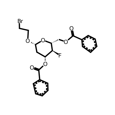 O=C(OC[C@H]1O[C@@H](OCCBr)C[C@@H](OC(=O)c2ccccc2)[C@@H]1F)c1ccccc1